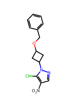 O=[N+]([O-])c1cnn(C2CC(OCc3ccccc3)C2)c1Cl